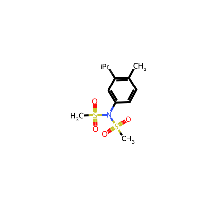 Cc1ccc(N(S(C)(=O)=O)S(C)(=O)=O)cc1C(C)C